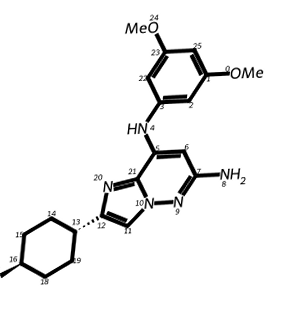 COc1cc(Nc2cc(N)nn3cc([C@H]4CC[C@H](N)CC4)nc23)cc(OC)c1